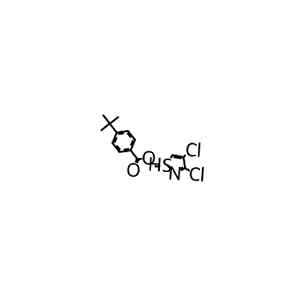 CC(C)(C)c1ccc(C(=O)OC[SH]2C=C(Cl)C(Cl)=N2)cc1